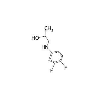 C[C@@H](O)CNc1ccc(F)c(F)c1